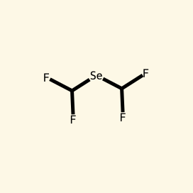 FC(F)[Se]C(F)F